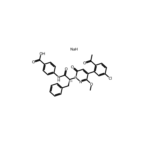 COc1nn([C@@H](Cc2ccccc2)C(=O)Nc2ccc(C(=O)O)cc2)c(=O)cc1-c1cc(Cl)ccc1C(C)=O.[NaH]